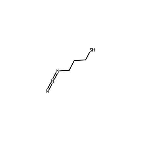 [N-]=[N+]=NCCCS